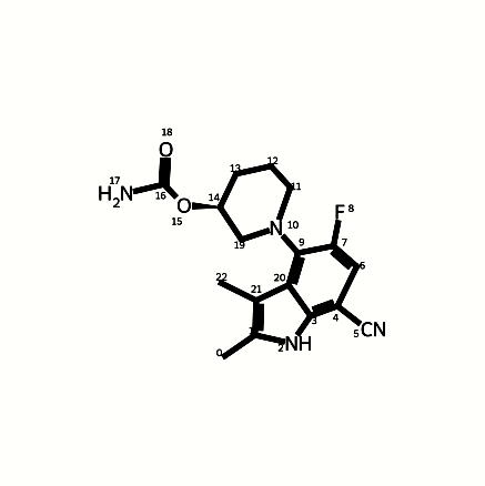 Cc1[nH]c2c(C#N)cc(F)c(N3CCC[C@H](OC(N)=O)C3)c2c1C